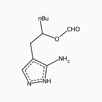 CCCCC(Cc1cn[nH]c1N)OC=O